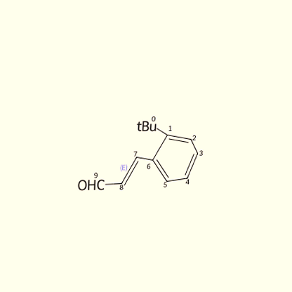 CC(C)(C)c1ccccc1/C=C/C=O